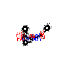 O=C(CNC(=O)OCc1ccccc1)N[C@@H](Cc1ccccc1)C(=O)N[C@@H](Cc1ccccc1)B(O)O